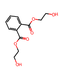 O=C(OCCO)c1ccccc1C(=O)OCCO